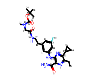 CCc1nc(C(N)=O)c(Nc2cc(F)cc(CCNC(=O)CN(C)C(=O)OC(C)(C)C)c2)nc1C1CC1